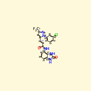 O=C(/C=C/c1cc(C(F)(F)F)nn1-c1cccc(Cl)c1)Nc1cccc2[nH]c(=O)[nH]c12